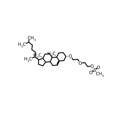 CC(C)CCCC(C)C1CCC2C3CC=C4C[C@@H](OCCOCCOS(C)(=O)=O)CC[C@]4(C)C3CC[C@]12C